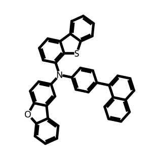 c1ccc2c(-c3ccc(N(c4ccc5oc6ccccc6c5c4)c4cccc5c4sc4ccccc45)cc3)cccc2c1